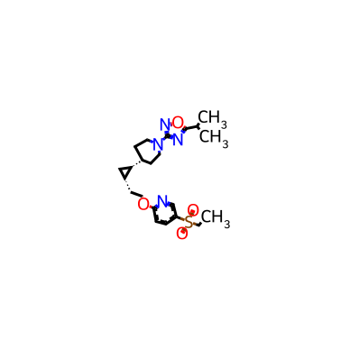 CCS(=O)(=O)c1ccc(OCC[C@@H]2C[C@@H]2C2CCN(c3noc(C(C)C)n3)CC2)nc1